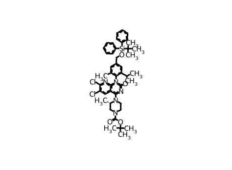 Cc1cc(CO[Si](c2ccccc2)(c2ccccc2)C(C)(C)C)cc(C(C)C)c1-n1c(=O)nc(N2CCN(C(=O)OC(C)(C)C)C[C@@H]2C)c2cc(Cl)c(Cl)nc21